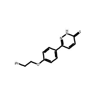 CC(C)CCOc1ccc(-c2ccc(=S)[nH]n2)cc1